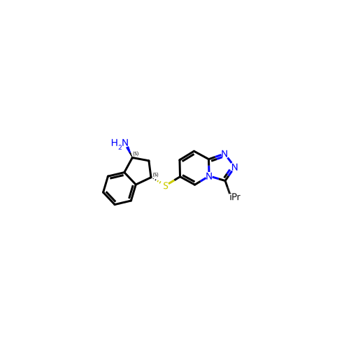 CC(C)c1nnc2ccc(S[C@H]3C[C@H](N)c4ccccc43)cn12